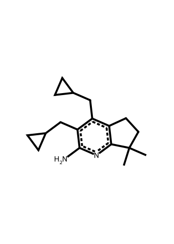 CC1(C)CCc2c1nc(N)c(CC1CC1)c2CC1CC1